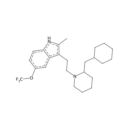 Cc1[nH]c2ccc(OC(F)(F)F)cc2c1CCN1CCCCC1CC1CCCCC1